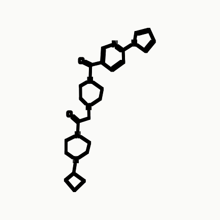 O=C(CN1CCN(C(=O)c2ccc(-n3cccc3)nc2)CC1)N1CCN(C2CCC2)CC1